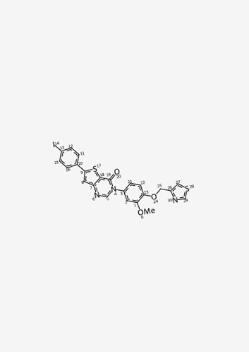 COc1cc(-n2cnc3cc(-c4ccc(I)cc4)sc3c2=O)ccc1OCc1cscn1